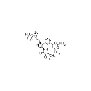 C=CCC(OC(N)=O)c1cc(-c2c(NC(=O)C(C)C=C)cnn2CCO[Si](C)(C)C(C)(C)C)ccn1